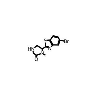 CN1C(=O)CNCC1c1nc2cc(Br)ccc2s1